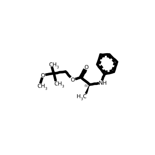 COC(C)(C)COC(=O)[C@H](C)Nc1ccccc1